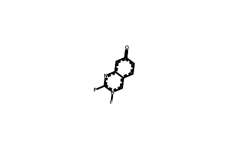 O=c1ccc2cn(F)c(F)nc-2c1